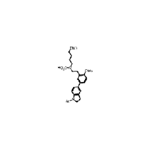 COc1ccc(-c2ccc3c(c2)CCN3C(C)=O)cc1CCN(CCCCC=O)C(=O)O